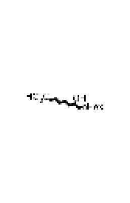 CCCCCCCC(O)CCCCCC(=O)O